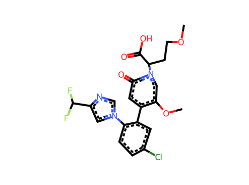 COCCC(C(=O)O)n1cc(OC)c(-c2cc(Cl)ccc2-n2cnc(C(F)F)c2)cc1=O